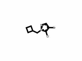 Clc1c(Br)cnn1CC1CCC1